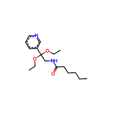 CCCCCC(=O)NCC(OCC)(OCC)c1cccnc1